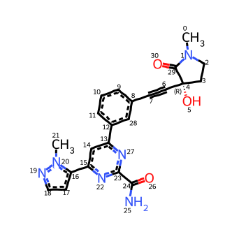 CN1CC[C@@](O)(C#Cc2cccc(-c3cc(-c4ccnn4C)nc(C(N)=O)n3)c2)C1=O